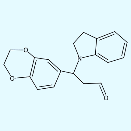 O=CCC(c1ccc2c(c1)OCCO2)N1CCc2ccccc21